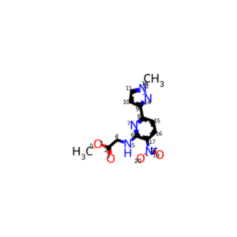 COC(=O)CNc1nc(-c2ccn(C)n2)ccc1[N+](=O)[O-]